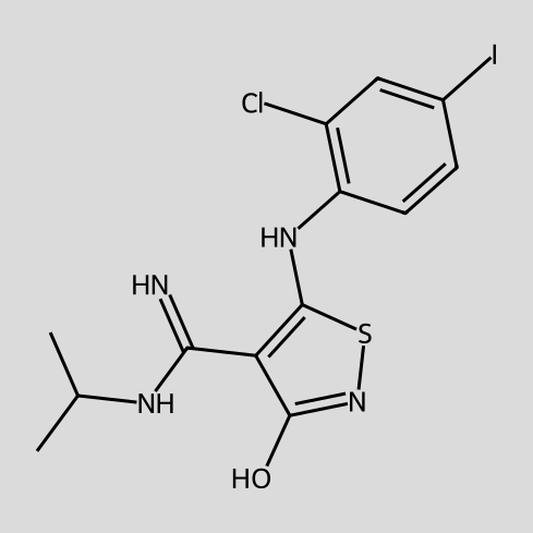 CC(C)NC(=N)c1c(O)nsc1Nc1ccc(I)cc1Cl